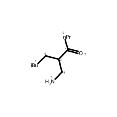 CCCC(=O)C(CN)CC(C)CC